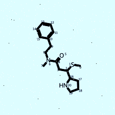 CSC(CC(=O)N(C)CCc1ccccc1)C1CCCN1